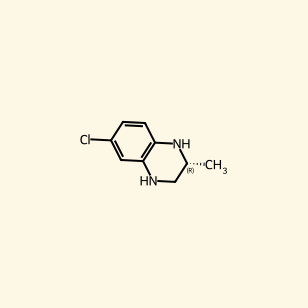 C[C@@H]1CNc2cc(Cl)ccc2N1